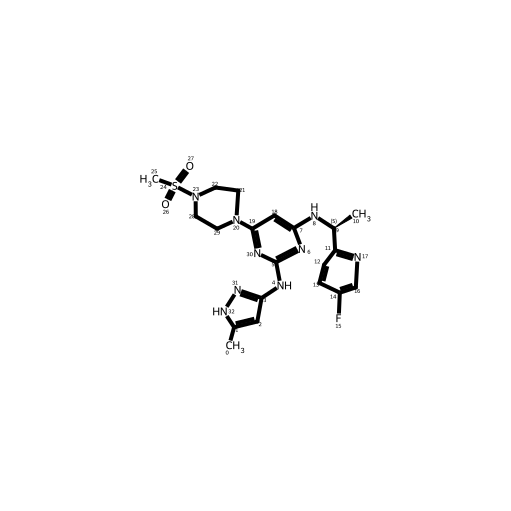 Cc1cc(Nc2nc(N[C@@H](C)c3ccc(F)cn3)cc(N3CCN(S(C)(=O)=O)CC3)n2)n[nH]1